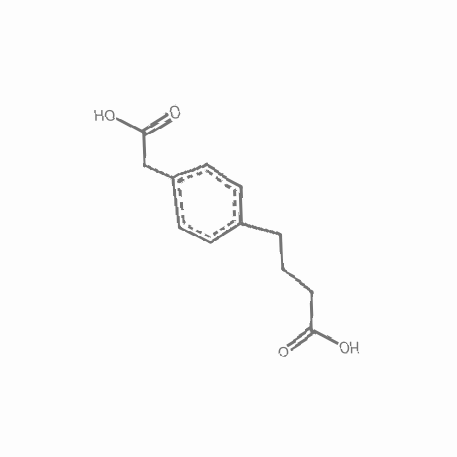 O=C(O)CCCc1ccc(CC(=O)O)cc1